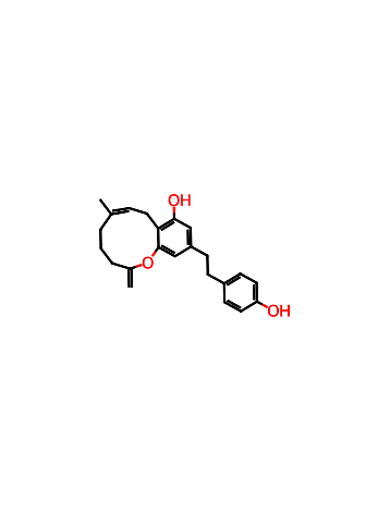 C=C1CCC/C(C)=C\Cc2c(O)cc(CCc3ccc(O)cc3)cc2O1